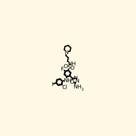 Nc1nnc(-c2cc(S(=O)(=O)NCCCN3CCCCC3)c(F)cc2Nc2ccc(I)cc2Cl)o1